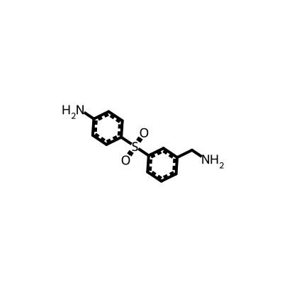 NCc1cccc(S(=O)(=O)c2ccc(N)cc2)c1